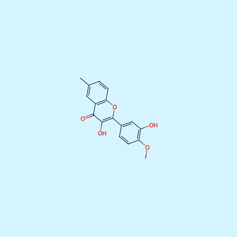 COc1ccc(-c2oc3ccc(C)cc3c(=O)c2O)cc1O